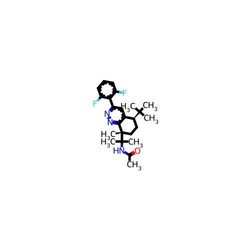 CC(=O)NC(C)(C)[C@@]1(C)CC[C@H](C(C)(C)C)c2cc(-c3c(F)cccc3F)nnc21